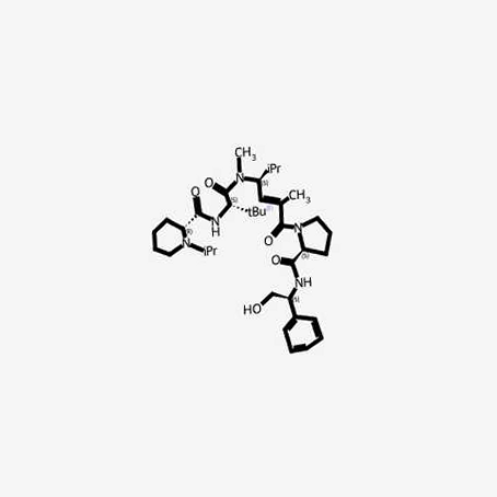 C/C(=C\[C@H](C(C)C)N(C)C(=O)[C@@H](NC(=O)[C@H]1CCCCN1C(C)C)C(C)(C)C)C(=O)N1CCC[C@H]1C(=O)N[C@H](CO)c1ccccc1